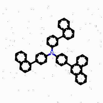 c1cc(-c2cccc3ccccc23)cc(N(c2ccc(-c3cccc4ccccc34)cc2)c2ccc(-c3cc4ccccc4c4ccccc34)cc2)c1